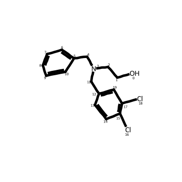 OCCN(Cc1ccccc1)Cc1ccc(Cl)c(Cl)c1